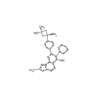 Cc1cc2ncc3c(O)c(-c4ccccc4)c(-c4ccc([C@]5(N)C[C@](C)(O)C5)cc4)nc3n2n1